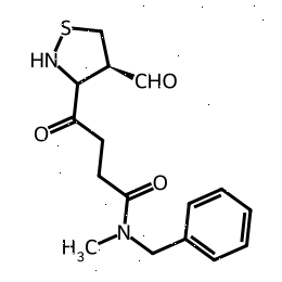 CN(Cc1ccccc1)C(=O)CCC(=O)C1NSC[C@H]1C=O